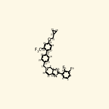 Fc1cccc(C2=NC3CN(Cc4ccc(-c5ccc(OCC6CC6)cc5C(F)(F)F)cc4)C=CC3=N2)c1F